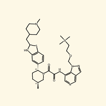 C[C@H]1CC[C@H](c2ccc3c(c2)NC(CC2CCN(C)CC2)S3)N(C(=O)C(=O)Nc2cncc3cnn(COCC[Si](C)(C)C)c23)C1